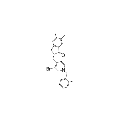 Cc1cc2c(cc1C)C(=O)C(CC1=C(Br)CN(Cc3ccccc3C)C=C1)C2